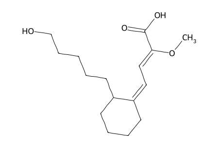 CO/C(=C\C=C1\CCCCC1CCCCCO)C(=O)O